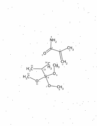 C=C(C)C(N)=O.CO[Si](OC)(OC)C(C)C